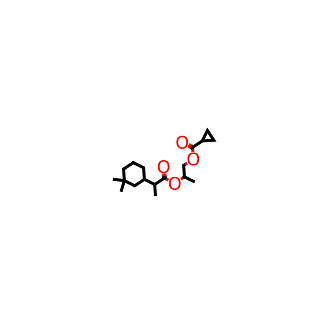 CC(COC(=O)C1CC1)OC(=O)C(C)C1CCCC(C)(C)C1